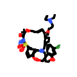 CCN(CC)CCO[C@H]1/C=C/COC(C)(C)C(=O)NS(=O)(=O)c2ccc3c(c2)N(C[C@@H]2CC[C@H]21)C[C@@]1(CCOc2cc(Cl)ccc21)CO3